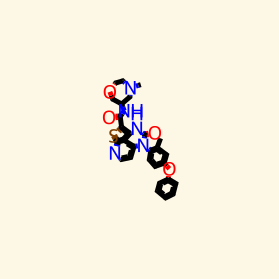 Cc1cc(Oc2ccccc2)ccc1N1C(=O)Nc2c(C(=O)NC3COCCN(C)C3)sc3nccc1c23